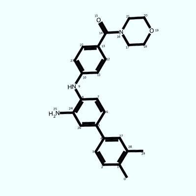 Cc1ccc(-c2ccc(Nc3ccc(C(=O)N4CCOCC4)cc3)c(N)c2)cc1C